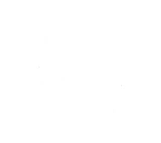 CS(=O)(=O)c1ccc(-c2ssc(=S)c2-c2ccccc2Br)cc1